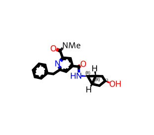 CNC(=O)c1cc(C(=O)N[C@H]2[C@@H]3C[C@@H](O)C[C@@H]32)cc(Cc2ccccc2)n1